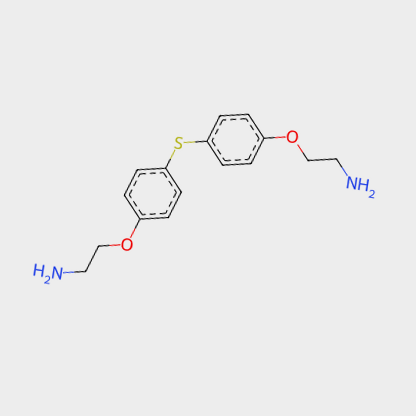 NCCOc1ccc(Sc2ccc(OCCN)cc2)cc1